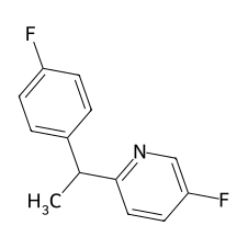 CC(c1ccc(F)cc1)c1ccc(F)cn1